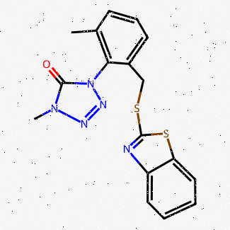 Cc1cccc(CSc2nc3ccccc3s2)c1-n1nnn(C)c1=O